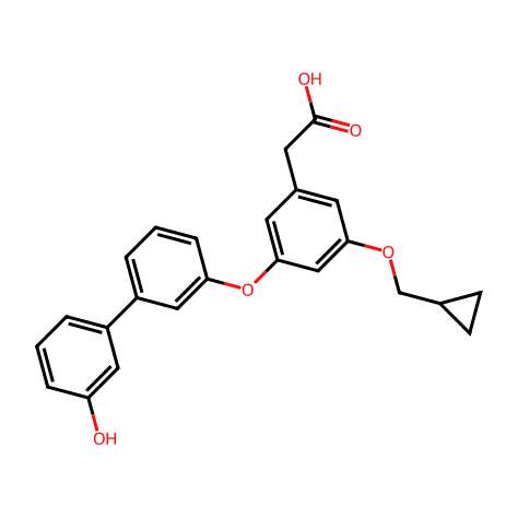 O=C(O)Cc1cc(OCC2CC2)cc(Oc2cccc(-c3cccc(O)c3)c2)c1